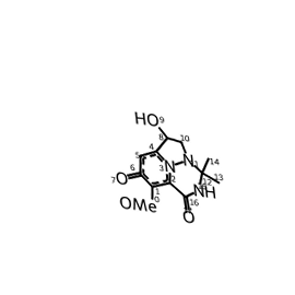 COc1c2n3c(cc1=O)C(O)CN3C(C)(C)NC2=O